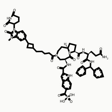 Cn1c(=O)n(C2CCC(=O)NC2=O)c2ccc(C3CC(CCCCC(=O)N4CC[C@H]5CC[C@@H](C(=O)N[C@@H](CCC(N)=O)C(=O)NC(c6ccccc6)c6ccccc6)N5C(=O)[C@@H](NC(=O)c5cc6cc(C(=O)P(=O)(O)O)ccc6[nH]5)C4)C3)cc21